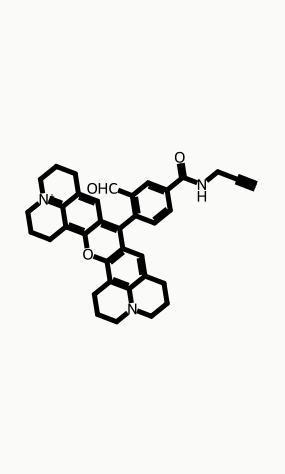 C#CCNC(=O)c1ccc(C2=c3cc4c5c(c3Oc3c2cc2c6c3CCCN6CCC2)CCC[N+]=5CCC4)c(C=O)c1